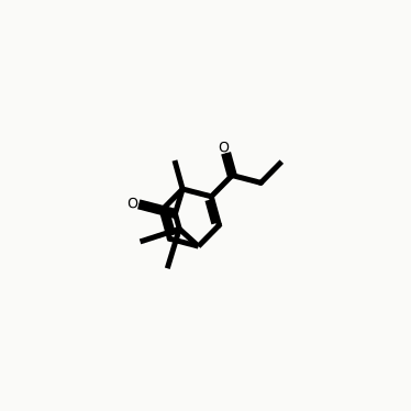 CCC(=O)C1=CC2C=CC1(C)C(=O)C2(C)C